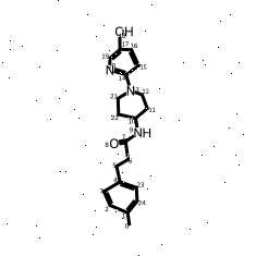 Cc1ccc(CCC(=O)NC2CCN(c3ccc(O)cn3)CC2)cc1